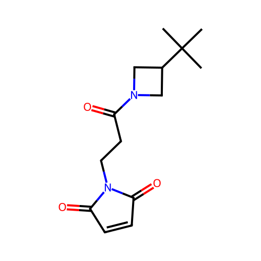 CC(C)(C)C1CN(C(=O)CCN2C(=O)C=CC2=O)C1